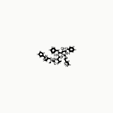 CC(C)[C@H](NC(=O)N(C)Cc1csc(C2=CCCC2)n1)C(=O)N[C@@H](Cc1ccccc1)C[C@H](O)[C@H](Cc1ccccc1)NC(=O)OCc1ccns1